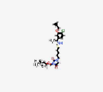 C[C@H](NSCCCCCN1CC(=O)N(COCC[Si](C)(C)C)C1=O)c1ccc(Cl)c(OCC2CC2)c1